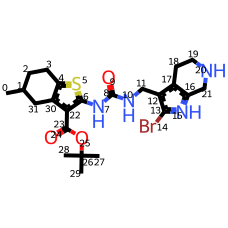 CC1CCc2sc(NC(=O)NCc3c(Br)[nH]c4c3CCNC4)c(C(=O)OC(C)(C)C)c2C1